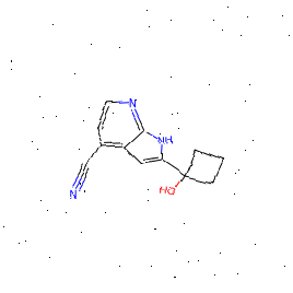 N#Cc1ccnc2[nH]c(C3(O)CCC3)cc12